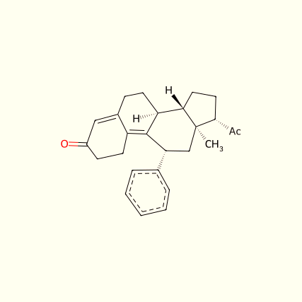 CC(=O)[C@H]1CC[C@H]2[C@@H]3CCC4=CC(=O)CCC4=C3[C@@H](c3ccccc3)C[C@]12C